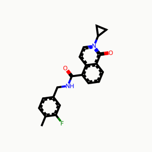 Cc1ccc(CNC(=O)c2cccc3c(=O)n(C4CC4)ccc23)cc1F